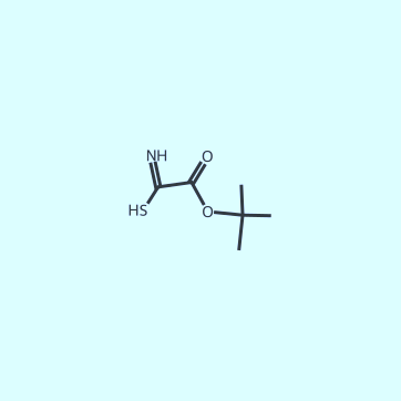 CC(C)(C)OC(=O)C(=N)S